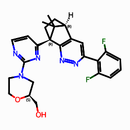 CC1(C)[C@H]2CC[C@@]1(c1ccnc(N3CCO[C@H](CO)C3)n1)c1nnc(-c3c(F)cccc3F)cc12